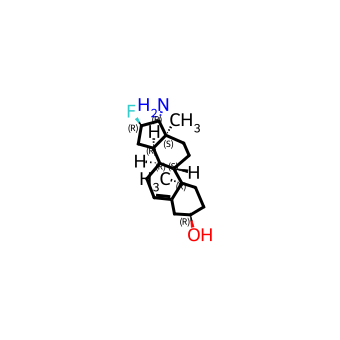 C[C@]12CC[C@H]3[C@@H](CC=C4C[C@H](O)CC[C@@]43C)[C@H]1C[C@@H](F)[C@@H]2N